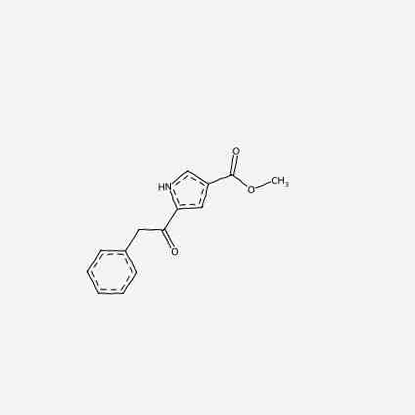 COC(=O)c1c[nH]c(C(=O)Cc2ccccc2)c1